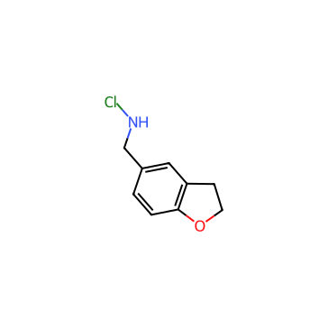 ClNCc1ccc2c(c1)CCO2